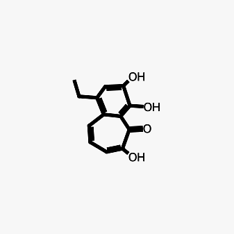 CCc1cc(O)c(O)c2c(=O)c(O)cccc12